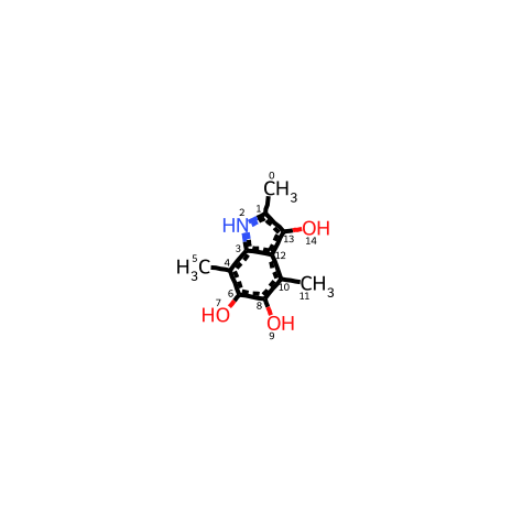 Cc1[nH]c2c(C)c(O)c(O)c(C)c2c1O